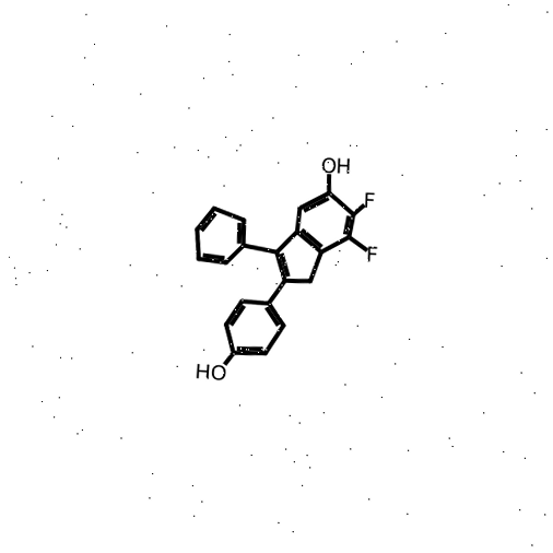 Oc1ccc(C2=C(c3ccccc3)c3cc(O)c(F)c(F)c3C2)cc1